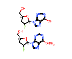 O.OC[C@@H]1CC(F)[C@H](n2cnc3c(O)ncnc32)O1.OC[C@@H]1CC(F)[C@H](n2cnc3c(O)ncnc32)O1